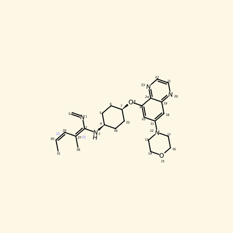 C=N/C(N[C@H]1CC[C@@H](Oc2cc(N3CCOCC3)cc3nccnc23)CC1)=C(C)\C=C/C